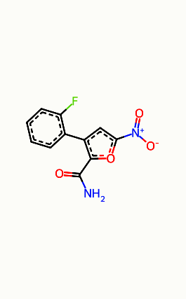 NC(=O)c1oc([N+](=O)[O-])cc1-c1ccccc1F